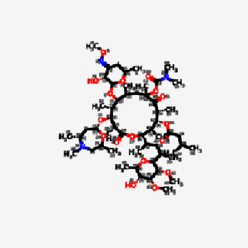 CON=C1C[C@@H](C)OC(O[C@@H]2[C@@H](C)[C@H](O[C@H]3C[C@@H](C)N(C)C[C@H](C)O3)[C@@H](C)C(=O)O[C@H](C(C)CC(C)C3O[C@H](C)[C@@H](O)[C@@H](OC)[C@H]3OC)[C@H](C)[C@@H](OC(=O)CC(C)C)[C@@H](C)C(=O)[C@@](C)(OC(=O)N(C)C)C[C@@H]2C)[C@@H]1O